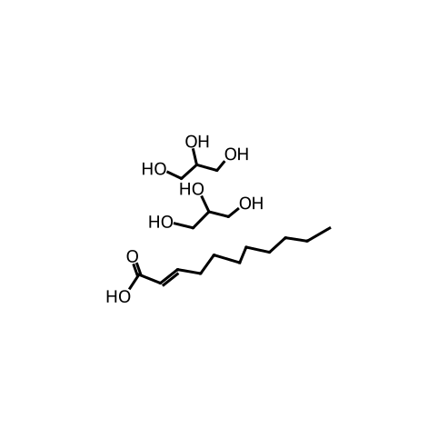 CCCCCCCCC=CC(=O)O.OCC(O)CO.OCC(O)CO